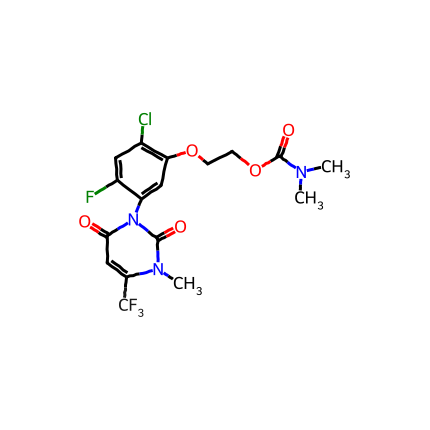 CN(C)C(=O)OCCOc1cc(-n2c(=O)cc(C(F)(F)F)n(C)c2=O)c(F)cc1Cl